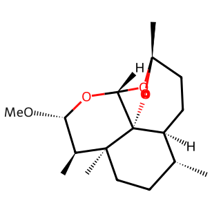 CO[C@@H]1O[C@@H]2O[C@@]3(C)CC[C@H]4[C@H](C)CC[C@@](C)([C@H]1C)[C@@]24OO3